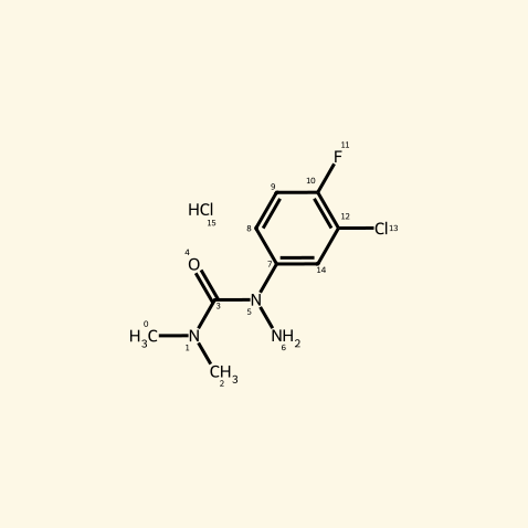 CN(C)C(=O)N(N)c1ccc(F)c(Cl)c1.Cl